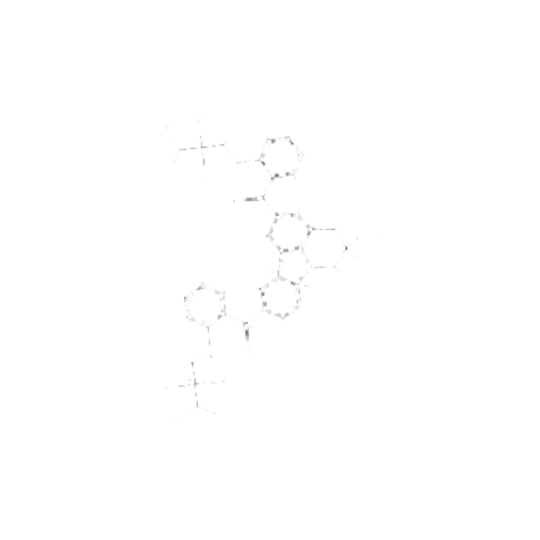 CC1(C)Cc2cc(C(=O)c3ccccc3CCC(F)(F)C(F)F)cc3c4cc(C(=O)c5ccccc5OCC(F)(F)C(F)F)ccc4n(c23)C1